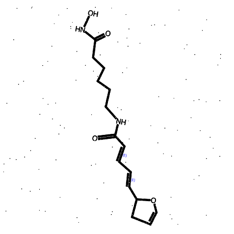 O=C(/C=C/C=C/C1CC=CO1)NCCCCCC(=O)NO